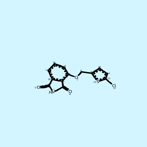 O=C1NC(=O)c2c(OCc3ccc(Cl)s3)cccc21